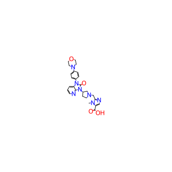 Cn1c(C(=O)O)cnc1CN1CCC(n2c(=O)n(-c3ccc(N4CCOCC4)cc3)c3cccnc32)C1